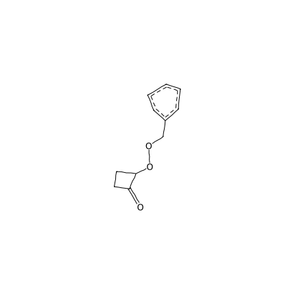 O=C1CCC1OOCc1ccccc1